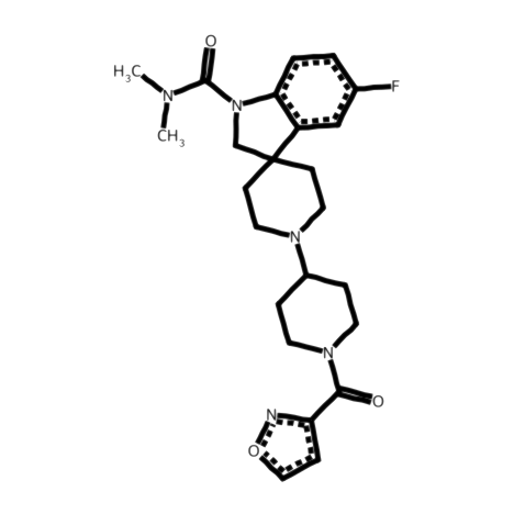 CN(C)C(=O)N1CC2(CCN(C3CCN(C(=O)c4ccon4)CC3)CC2)c2cc(F)ccc21